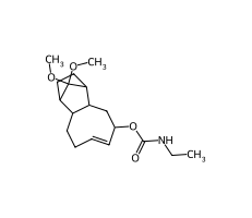 CCNC(=O)OC1/C=C/CCC2C(C1)C1CCC2C1(OC)OC